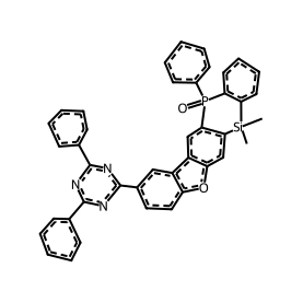 C[Si]1(C)c2ccccc2P(=O)(c2ccccc2)c2cc3c(cc21)oc1ccc(-c2nc(-c4ccccc4)nc(-c4ccccc4)n2)cc13